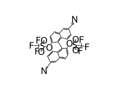 N#Cc1ccc2c(-c3c(OS(=O)(=O)C(F)(F)F)ccc4cc(C#N)ccc34)c(OS(=O)(=O)C(F)(F)F)ccc2c1